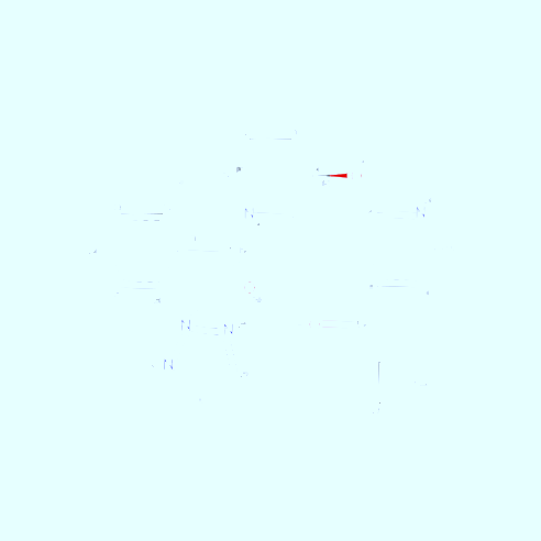 C[C@@H]1CC[C@@H](Oc2cc(C(=O)C3CC3)ccn2)CN1C(=O)c1ccccc1-n1nccn1